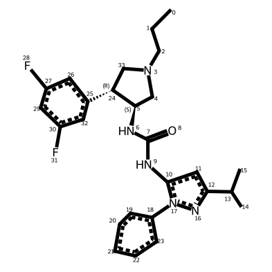 CCCN1C[C@@H](NC(=O)Nc2cc(C(C)C)nn2-c2ccccc2)[C@H](c2cc(F)cc(F)c2)C1